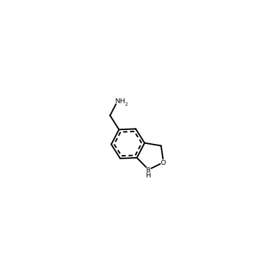 NCc1ccc2c(c1)COB2